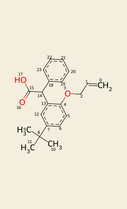 C=CCOc1ccc(C(C)(C)C)cc1C(C(=O)O)c1ccccc1